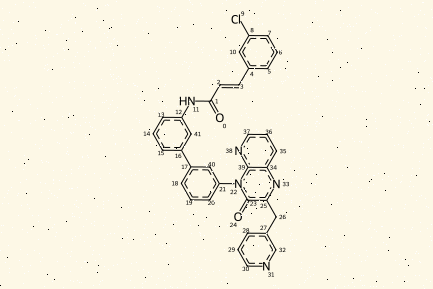 O=C(C=Cc1cccc(Cl)c1)Nc1cccc(-c2cccc(-n3c(=O)c(Cc4cccnc4)nc4cccnc43)c2)c1